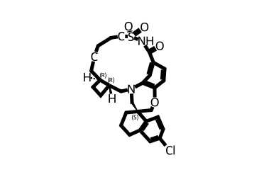 O=C1NS(=O)(=O)CCCCC[C@@H]2CC[C@H]2CN2C[C@@]3(CCCc4cc(Cl)ccc43)COc3ccc1cc32